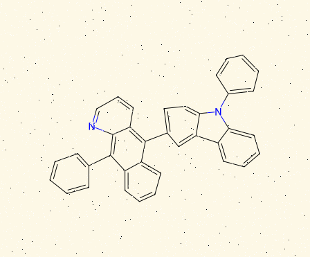 c1ccc(-c2c3ccccc3c(-c3ccc4c(c3)c3ccccc3n4-c3ccccc3)c3cccnc23)cc1